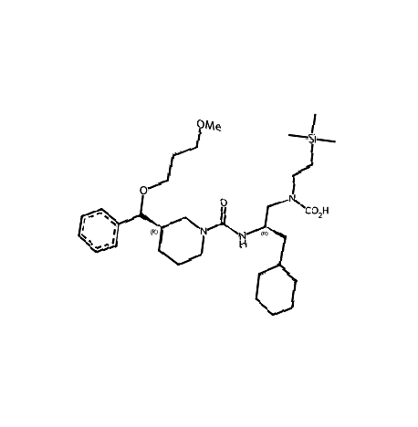 COCCCOC(c1ccccc1)[C@@H]1CCCN(C(=O)N[C@H](CC2CCCCC2)CN(CC[Si](C)(C)C)C(=O)O)C1